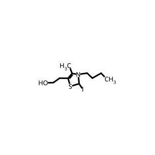 CCCCN1C(C)=C(CCO)SC1I